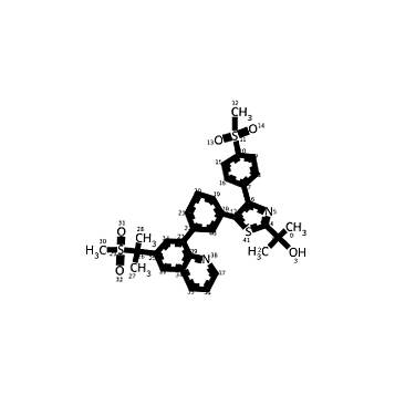 CC(C)(O)c1nc(-c2ccc(S(C)(=O)=O)cc2)c(-c2cccc(-c3cc(C(C)(C)S(C)(=O)=O)cc4cccnc34)c2)s1